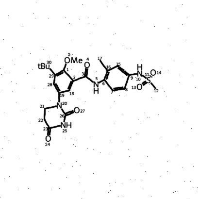 COc1c(C(=O)Nc2ccc(NS(C)(=O)=O)cc2C)cc(N2CCC(=O)NC2=O)cc1C(C)(C)C